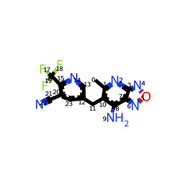 Cc1nc2nonc2c(N)c1Cc1cnc(C(F)(F)F)c(C#N)c1